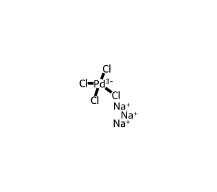 [Cl][Pd-3]([Cl])([Cl])[Cl].[Na+].[Na+].[Na+]